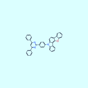 c1ccc(-c2cc(-c3ccccc3)nc(-c3ccc(-n4c5ccccc5c5c6oc7ccccc7c6ccc54)cc3)n2)cc1